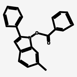 Cc1ccc2cc(-c3ccccc3)n(OC(=O)c3ccccc3)c2c1